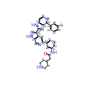 O=C(CC1CCNCC1)Nc1cncc(-c2cc3c(-c4nc5c(-c6cccc(F)c6)nccc5[nH]4)n[nH]c3cn2)c1